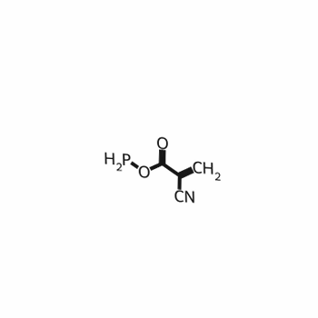 C=C(C#N)C(=O)OP